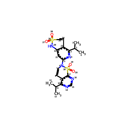 CC(C)c1nc(N2C=Cc3c(C(C)C)ncnc3S2(=O)=O)cc2c1C=CS(=O)(=O)N2